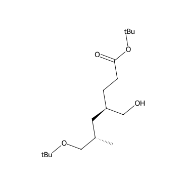 C[C@H](COC(C)(C)C)C[C@H](CO)CCC(=O)OC(C)(C)C